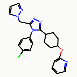 Clc1ccc(-n2c(Cn3cccn3)nnc2C2CCC(Oc3ccccn3)CC2)cc1